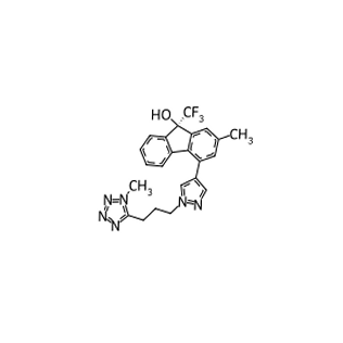 Cc1cc(-c2cnn(CCCc3nnnn3C)c2)c2c(c1)[C@@](O)(C(F)(F)F)c1ccccc1-2